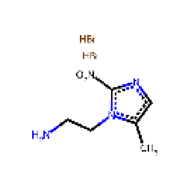 Br.Br.Cc1cnc([N+](=O)[O-])n1CCN